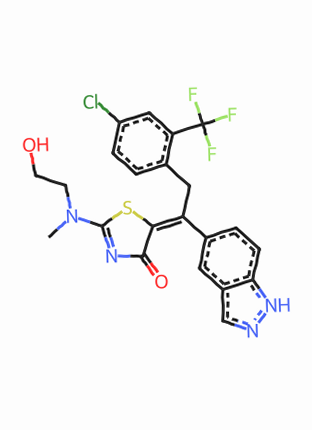 CN(CCO)C1=NC(=O)C(=C(Cc2ccc(Cl)cc2C(F)(F)F)c2ccc3[nH]ncc3c2)S1